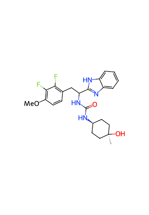 COc1ccc(CC(NC(=O)N[C@H]2CC[C@@](C)(O)CC2)c2nc3ccccc3[nH]2)c(F)c1F